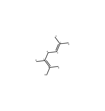 CC(C)=CCC(C)=C(C)C